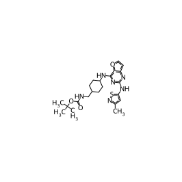 Cc1cc(Nc2nc(NC3CCC(CNC(=O)OC(C)(C)C)CC3)c3occc3n2)sn1